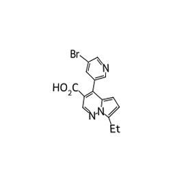 CCc1ccc2c(-c3cncc(Br)c3)c(C(=O)O)cnn12